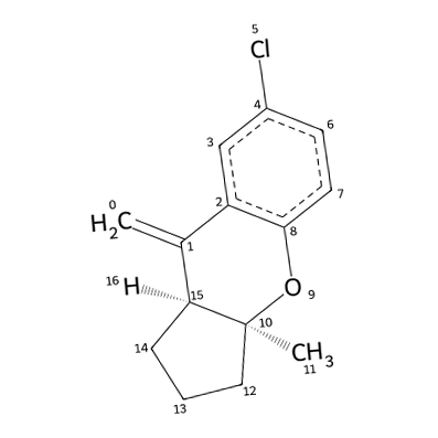 C=C1c2cc(Cl)ccc2O[C@@]2(C)CCC[C@@H]12